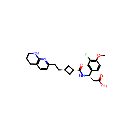 COc1ccc([C@H](CC(=O)O)NC(=O)[C@H]2C[C@H](CCc3ccc4c(n3)NCCC4)C2)cc1F